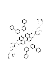 CC(C)CC(C(=O)NCCN(CC1CO1)C[C@@H]1CO1)N1C(=O)c2cc(Oc3ccc(-c4ccccc4)cc3)c3c4c(Oc5ccc(-c6ccccc6)cc5)cc5c6c(cc(Oc7ccc(-c8ccccc8)cc7)c(c7c(Oc8ccc(-c9ccccc9)cc8)cc(c2c37)C1=O)c64)C(=O)N(C(CC(C)C)C(=O)NCCN(CC1CO1)C1COC1)C5=O